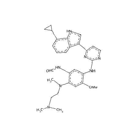 COc1cc(N(C)CCN(C)C)c(NC=O)cc1Nc1nccc(-c2c[nH]c3c(C4CC4)cccc23)n1